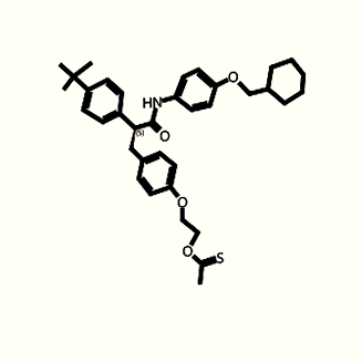 CC(=S)OCCOc1ccc(C[C@H](C(=O)Nc2ccc(OCC3CCCCC3)cc2)c2ccc(C(C)(C)C)cc2)cc1